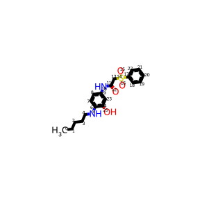 CCCCCNc1ccc(NC(=O)CS(=O)(=O)c2ccccc2)cc1O